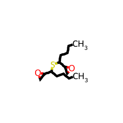 CCCCC(SC(CCCC)C1CO1)C1CO1